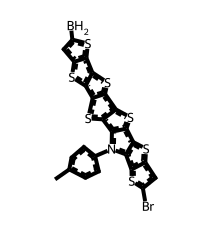 Bc1cc2sc3c(sc4c3sc3c4sc4c5sc6cc(Br)sc6c5n(-c5ccc(C)cc5)c34)c2s1